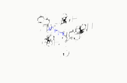 CC(=O)CCCCCN(/C(C)=C/C=C/C(CCCS(=O)(=O)O)=[N+](\CCCS(=O)(=O)O)c1ccc2ccccc2c1C)c1ccc2c(S(=O)(=O)O)cccc2c1C